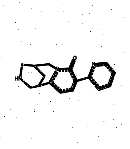 O=c1c(-c2ccccn2)ccc2n1CC1CNCC2C1